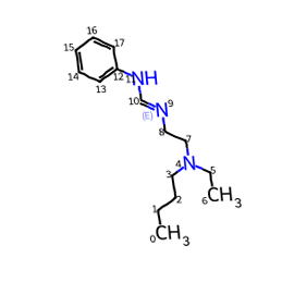 CCCCN(CC)CC/N=C/Nc1ccccc1